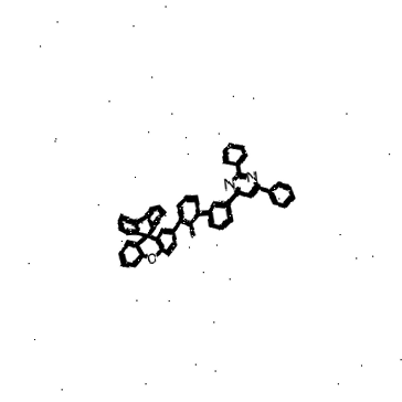 CC1C(c2ccc3c(c2)C2(c4ccccc4O3)c3ccccc3-c3ccccc32)=CC=CC1c1cccc(-c2cc(-c3ccccc3)nc(-c3ccccc3)n2)c1